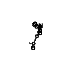 CCc1cc(C#Cc2ccc(-c3cc(Cn4ccnc4[C@H](C)OC4CCCCO4)no3)cc2)ccc1C=O